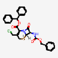 O=C(NC1C(=O)N2C(C(=O)OC(c3ccccc3)c3ccccc3)=C(CCl)CS[C@H]12)OCc1ccccc1